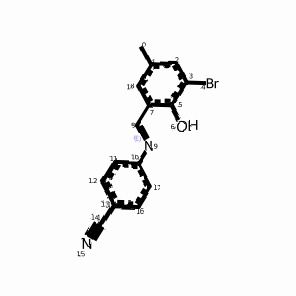 Cc1cc(Br)c(O)c(/C=N/c2ccc(C#N)cc2)c1